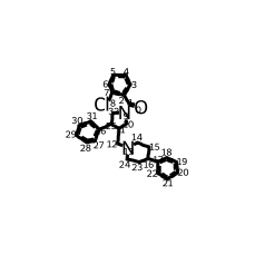 O=C(c1ccccc1Cl)N1CC(CN2CCC(c3ccccc3)CC2)C(c2ccccc2)C1